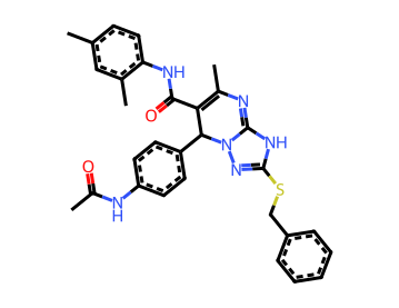 CC(=O)Nc1ccc(C2C(C(=O)Nc3ccc(C)cc3C)=C(C)N=C3NC(SCc4ccccc4)=NN32)cc1